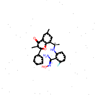 Cc1cc([C@@H](C)Nc2cccc(F)c2/C(N)=N/O)c2oc(-c3ccccc3)c(C)c(=O)c2c1